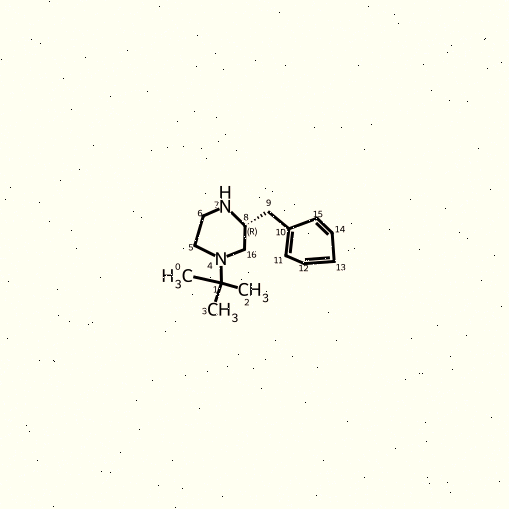 CC(C)(C)N1CCN[C@H](Cc2ccccc2)C1